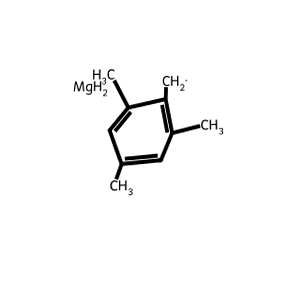 [CH2]c1c(C)cc(C)cc1C.[MgH2]